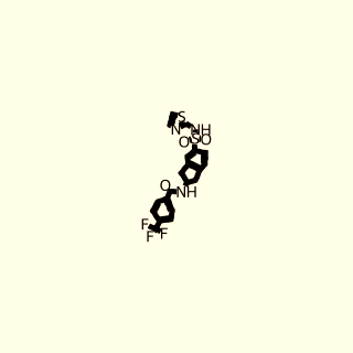 O=C(NC1Cc2ccc(S(=O)(=O)Nc3nccs3)cc2C1)c1ccc(C(F)(F)F)cc1